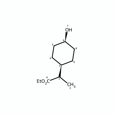 CCOC(=O)C(C)[C@H]1CC[C@@H](O)CC1